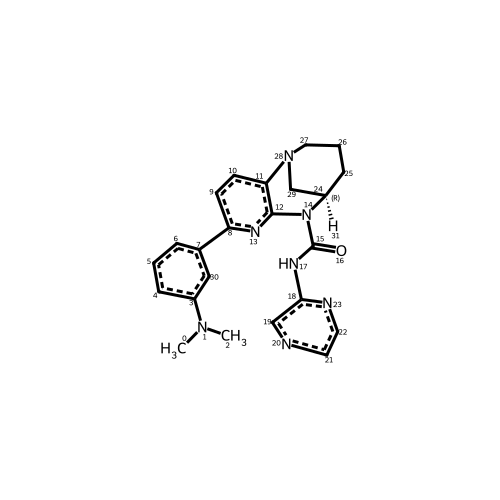 CN(C)c1cccc(-c2ccc3c(n2)N(C(=O)Nc2cnccn2)[C@@H]2CCCN3C2)c1